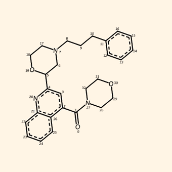 O=C(c1cc(C2CN(CCCc3ccccc3)CCO2)nc2ccccc12)N1CCOCC1